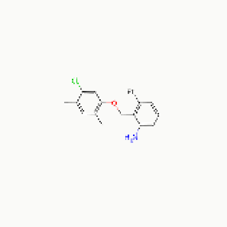 CCc1cccc(N)c1COc1cc(Cl)c(C)cc1C